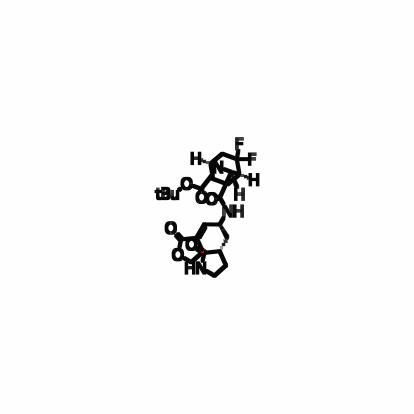 CC(C)(C)OC(=O)N1[C@H]2CC[C@@H]([C@@H]1C(=O)N[C@H](/C=C1\CCOC1=O)C[C@@H]1CCNC1=O)C(F)(F)C2